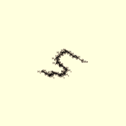 COC(=O)CCCCCCC(=O)Nc1ccc(C(=O)NCCC(=O)NCCC(=O)Nc2cc(C(=O)Nc3cc(C(=O)NCCC(=O)Nc4cc(C(=O)Nc5cc(C(=O)Nc6cc(C(=O)NCCCC(=O)Nc7cn(C)c(C(=O)Nc8cn(C)c(C(=O)Nc9cn(C)c(C(=O)NCCC(=O)Nc%10cc(C(=O)Nc%11cn(C)c(C(=O)NCCC(=O)NCCCN(C)C)n%11)n(C)c%10)n9)n8)n7)n(C)c6)n(C)c5)n(C)c4)n(C)c3)n(C)c2)cc1